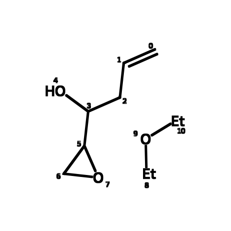 C=CCC(O)C1CO1.CCOCC